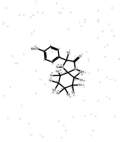 [2H]N1C(=O)C([2H])(c2ccc(OC)cc2)N([2H])C12C([2H])([2H])C([2H])([2H])C([2H])([2H])C([2H])([2H])C2([2H])[2H]